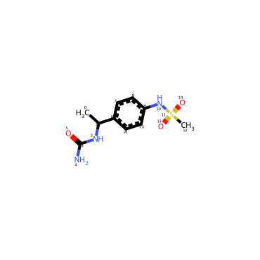 CC(NC(N)=O)c1ccc(NS(C)(=O)=O)cc1